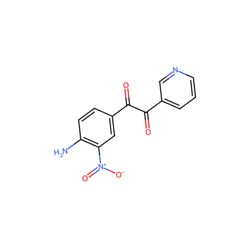 Nc1ccc(C(=O)C(=O)c2cccnc2)cc1[N+](=O)[O-]